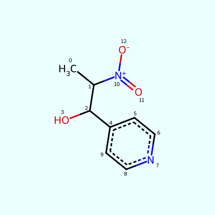 CC(C(O)c1ccncc1)[N+](=O)[O-]